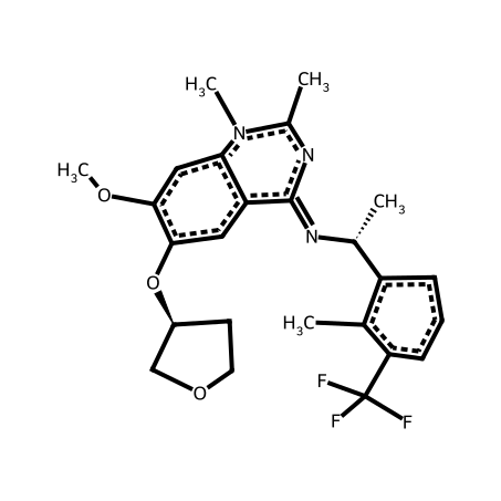 COc1cc2c(cc1O[C@H]1CCOC1)/c(=N/[C@H](C)c1cccc(C(F)(F)F)c1C)nc(C)n2C